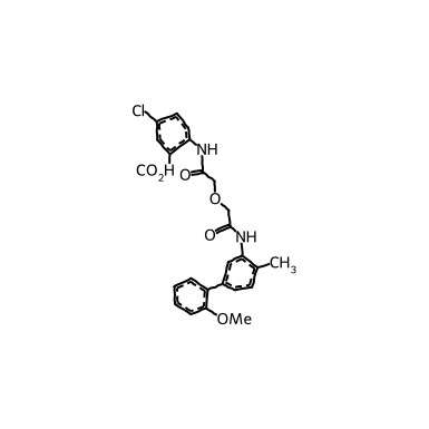 COc1ccccc1-c1ccc(C)c(NC(=O)COCC(=O)Nc2ccc(Cl)cc2C(=O)O)c1